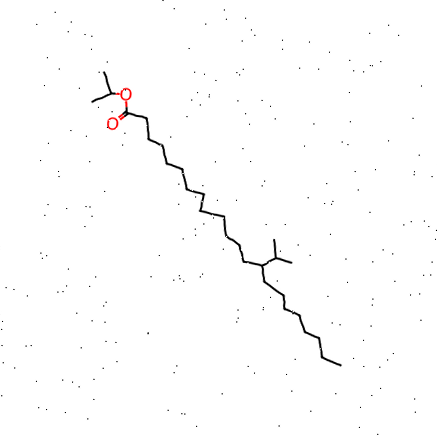 CCCCCCCCC(CCCCCCCCCCCCC(=O)OC(C)C)C(C)C